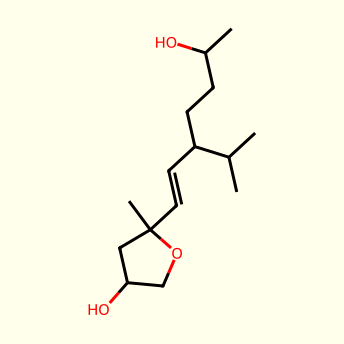 CC(O)CCC(/C=C/C1(C)CC(O)CO1)C(C)C